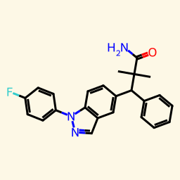 CC(C)(C(N)=O)C(c1ccccc1)c1ccc2c(cnn2-c2ccc(F)cc2)c1